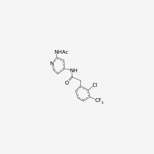 CC(=O)Nc1cc(NC(=O)Cc2cccc(C(F)(F)F)c2Cl)ccn1